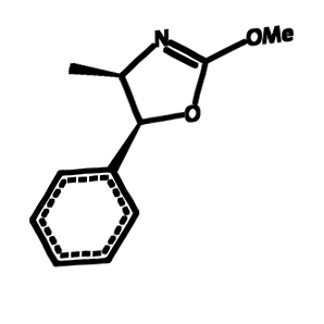 COC1=N[C@H](C)[C@H](c2ccccc2)O1